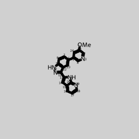 COc1cncc(-c2ccc3[nH]nc(-c4cc5cccnc5[nH]4)c3c2)c1